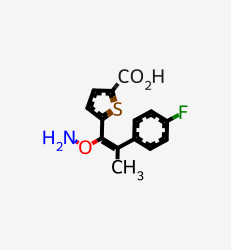 C/C(=C(\ON)c1ccc(C(=O)O)s1)c1ccc(F)cc1